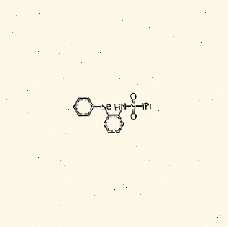 CC(C)S(=O)(=O)Nc1ccccc1[Se]c1ccccc1